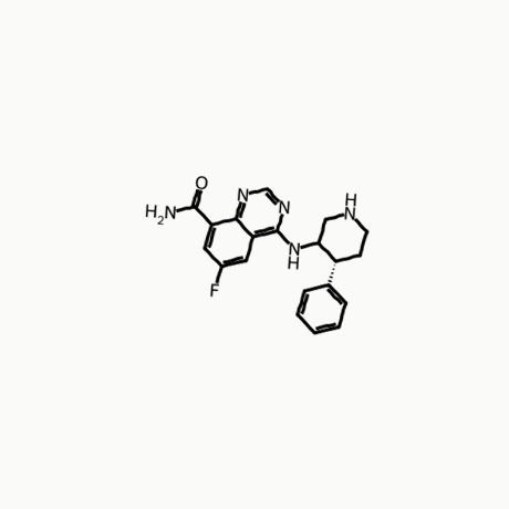 NC(=O)c1cc(F)cc2c(NC3CNCC[C@@H]3c3ccccc3)ncnc12